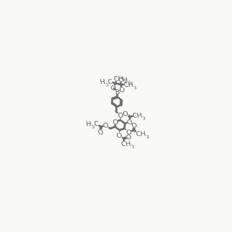 CC(=O)OCC1O[C@H](OCc2ccc(B3OC(C)(C)C(C)(C)O3)cc2)C(OC(C)=O)[C@@H](OC(C)=O)[C@@H]1OC(C)=O